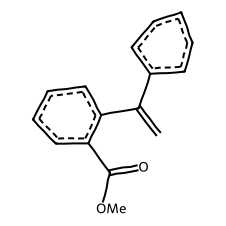 C=C(c1ccccc1)c1ccccc1C(=O)OC